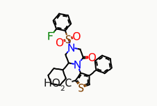 O=C(O)c1scc(-c2ccccc2)c1N1C(=O)CN(S(=O)(=O)c2ccccc2F)CC1C1CCCCC1